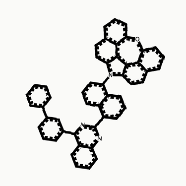 c1ccc(-c2cccc(-c3nc(-c4cccc5c(-n6c7ccc8cccc9oc%10cccc%11ccc6c(c%11%10)c7c89)cccc45)nc4ccccc34)c2)cc1